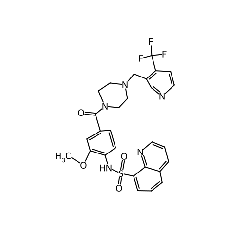 COc1cc(C(=O)N2CCN(Cc3cnccc3C(F)(F)F)CC2)ccc1NS(=O)(=O)c1cccc2cccnc12